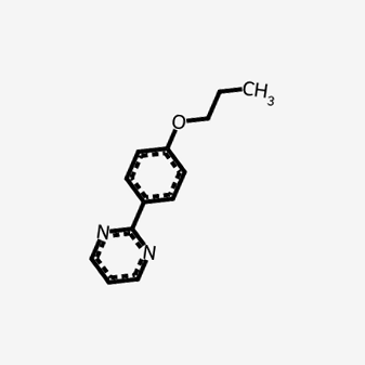 CCCOc1ccc(-c2ncccn2)cc1